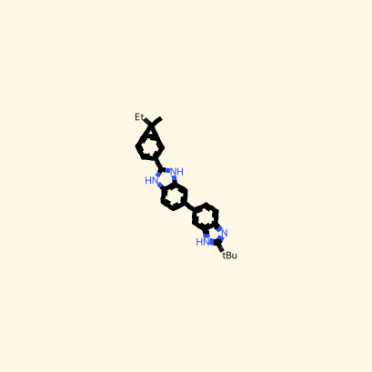 CCC1(C)c2ccc(C3Nc4ccc(-c5ccc6nc(C(C)(C)C)[nH]c6c5)cc4N3)cc21